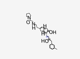 Cc1cccc(C[C@@H](O)/C=C/[C@@H]2[C@H]3CC(CCNCC(=O)N4CCCC4)=C[C@H]3C[C@H]2O)c1